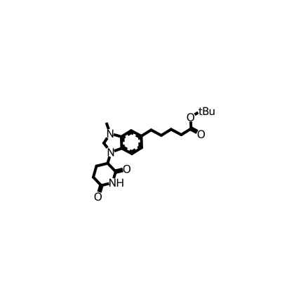 CN1CN(C2CCC(=O)NC2=O)c2ccc(CCCCC(=O)OC(C)(C)C)cc21